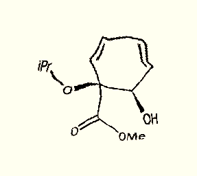 COC(=O)[C@]1(OC(C)C)C=CC=C[C@H]1O